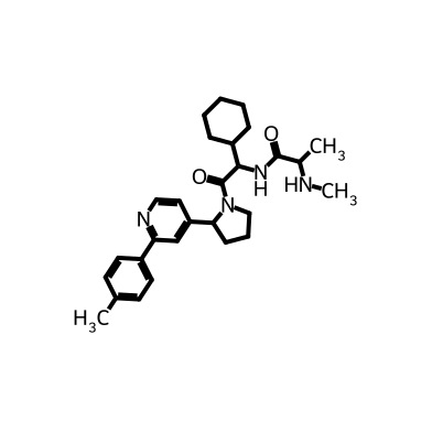 CNC(C)C(=O)NC(C(=O)N1CCCC1c1ccnc(-c2ccc(C)cc2)c1)C1CCCCC1